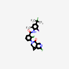 O=C(Nc1c(I)cc(C(F)(C(F)(F)F)C(F)(F)F)cc1C(F)(F)F)c1cccc(N(CC2CC2)C(=O)c2ccc(F)nc2)c1F